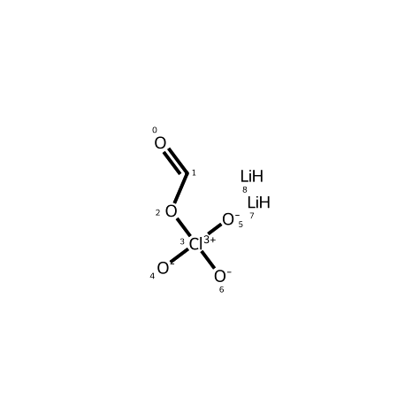 O=CO[Cl+3]([O-])([O-])[O-].[LiH].[LiH]